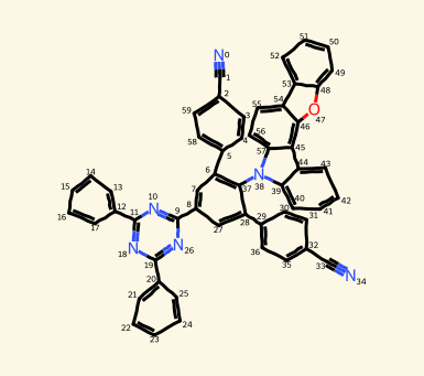 N#Cc1ccc(-c2cc(-c3nc(-c4ccccc4)nc(-c4ccccc4)n3)cc(-c3ccc(C#N)cc3)c2-n2c3ccccc3c3c4oc5ccccc5c4ccc32)cc1